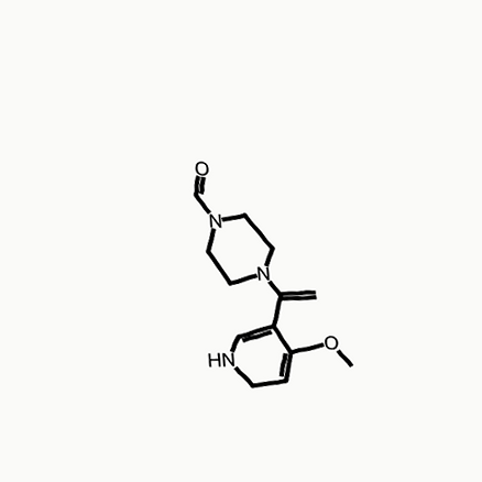 C=C(C1=CNCC=C1OC)N1CCN(C=O)CC1